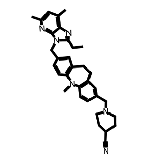 CCc1nc2c(C)cc(C)nc2n1Cc1ccc2c(c1)CCc1cc(CN3CCC(C#N)CC3)ccc1N2C